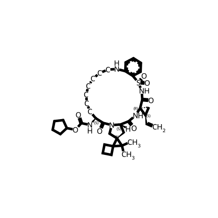 C=C[C@@H]1C[C@@]12NC(=O)[C@@H]1C[C@@]3(CN1C(=O)[C@@H](NC(=O)OC1CCCC1)CCCCCCCNc1ccccc1S(=O)(=O)NC2=O)C(C)(C)C31CCC1